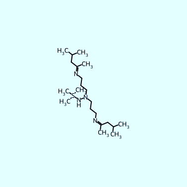 C/C(CC(C)C)=N/CCCN(CCC/N=C(\C)CC(C)C)NS(C)(C)C